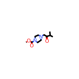 COC(=O)N1CCN(CC(=O)C(C)C)CC1